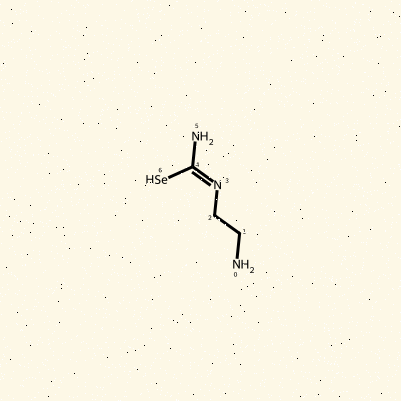 NCCN=C(N)[SeH]